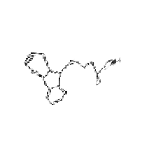 O=C(O)CCSC1c2ccccc2-c2ccccc21